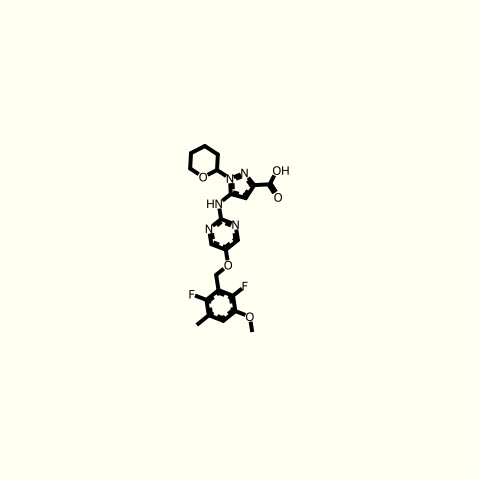 COc1cc(C)c(F)c(COc2cnc(Nc3cc(C(=O)O)nn3C3CCCCO3)nc2)c1F